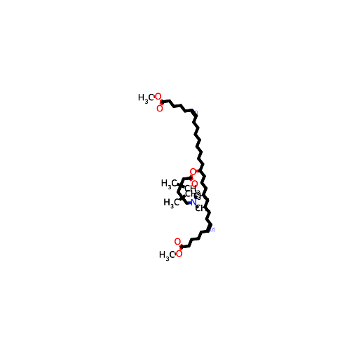 COC(=O)CCCC/C=C\CCCCCCCCC(CCCCCCCC/C=C\CCCCC(=O)OC)OC(=O)CC(C)(C)CC(C)(C)CN(C)C